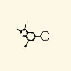 Cc1oc2c(C#N)cc(C3CCNCC3)cc2c1C.Cl